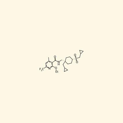 CCOc1nc(C(F)(F)F)cc(C)c1C(=O)NC[C@]1(CC2CC2)CC[C@H](S(=O)(=O)CC2CC2)CC1